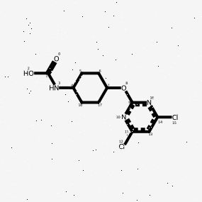 O=C(O)NC1CCC(Oc2nc(Cl)cc(Cl)n2)CC1